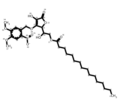 CCCCCCCCCCCCCCCC(=O)OCC(O)C1OC(=O)C(O)=C1OCc1cc(OC)c(OC)cc1[N+](=O)[O-]